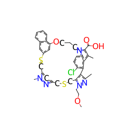 COCCn1nc(C)c2c1CSCc1cc(n(C)n1)CSc1cc(c3ccccc3c1)OCCCn1c(C(=O)O)c(C)c3c-2c(Cl)ccc31